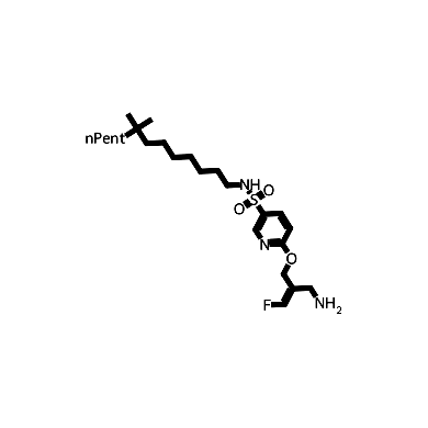 CCCCCC(C)(C)CCCCCCCNS(=O)(=O)c1ccc(OC/C(=C\F)CN)nc1